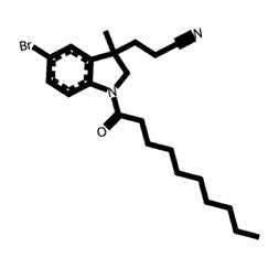 CCCCCCCCCC(=O)N1CC(C)(CCC#N)c2cc(Br)ccc21